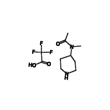 CC(=O)N(C)C1CCNCC1.O=C(O)C(F)(F)F